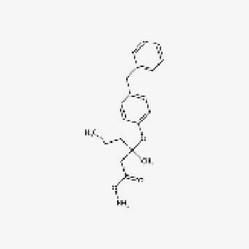 CCCC(C)(CC(=O)ON)Oc1ccc(Cc2ccccc2)cc1